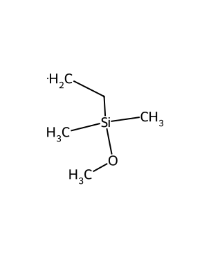 [CH2]C[Si](C)(C)OC